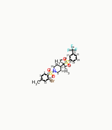 Cc1ccc(S(=O)(=O)N2CCC(C(C)(C)S(=O)(=O)c3cccc(C(F)(F)F)c3)CC2)c(Br)c1